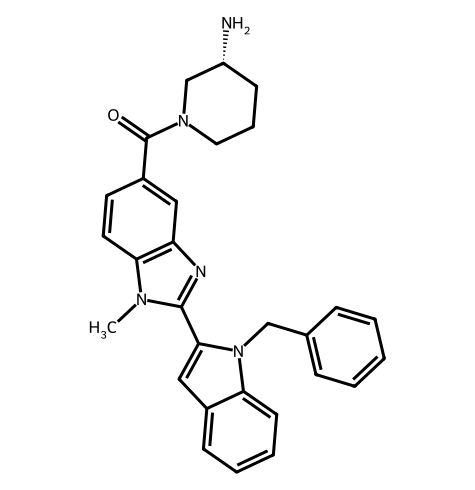 Cn1c(-c2cc3ccccc3n2Cc2ccccc2)nc2cc(C(=O)N3CCC[C@@H](N)C3)ccc21